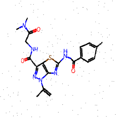 C=C(C)n1nc(C(=O)NCC(=O)N(C)C)c2sc(NC(=O)c3ccc(C)cc3)nc21